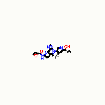 CCCC(O)c1cc(C)c(-n2cc3ccc(NC(=O)[C@H]4CCO4)nc3c3ncnc2-3)cn1